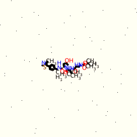 Cc1ncsc1-c1ccc([C@H](C)NC(=O)[C@@H]2C[C@@H](O)CN2C(=O)[C@@H](NC(=O)CCNC(=O)OC(C)(C)C)C(C)(C)C)cc1